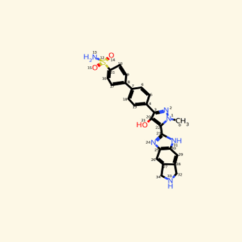 Cn1nc(-c2ccc(-c3ccc(S(N)(=O)=O)cc3)cc2)c(O)c1-c1nc2cc3c(cc2[nH]1)CNC3